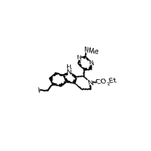 CCOC(=O)N1CCc2c([nH]c3ccc(CI)cc23)C1c1cnc(NC)nc1